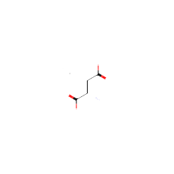 N[C@@H](CC(=O)[O-])C(=O)[O-].[K+].[K+]